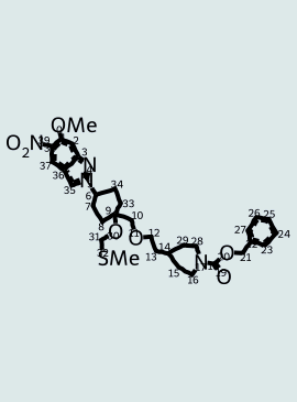 COc1cc2nn(C3CCC(COCCC4CCN(C(=O)OCc5ccccc5)CC4)(OCSC)CC3)cc2cc1[N+](=O)[O-]